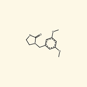 COc1cc(CN2CC[N]C2=O)cc(OC)c1